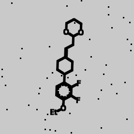 CCOc1ccc(C2CCC(=CCC3OCCCO3)CC2)c(F)c1F